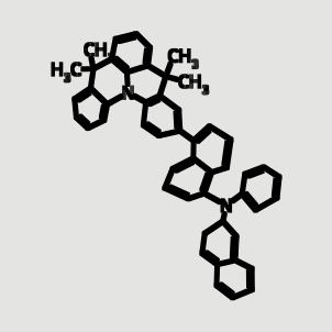 CC1(C)c2ccccc2N2c3ccc(-c4cccc5c(N(c6ccccc6)C6C=c7ccccc7=CC6)cccc45)cc3C(C)(C)c3cccc1c32